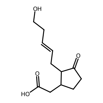 O=C(O)CC1CCC(=O)C1CC=CCCO